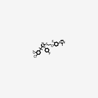 COc1cc(C(C)(C)c2cnc(SCCOc3ccc(-n4ccnc4C)cc3F)n2-c2ccc(F)cc2)ccc1Cl